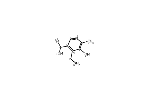 [2H]C(O)c1cnc(C)c(O)c1CN